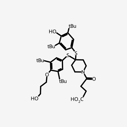 CC(C)(C)c1cc(SC2(Sc3cc(C(C)(C)C)c(OCCCO)c(C(C)(C)C)c3)CCN(C(=O)CCC(=O)O)CC2)cc(C(C)(C)C)c1O